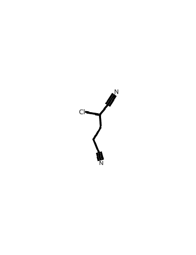 N#CCCC(Cl)C#N